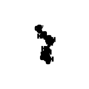 COc1nc(CCCNC(=O)CNc2cccc3c2C(=O)N(C2CCC(=O)NC2=O)C3=O)cnc1NS(=O)(=O)c1ccc(NC(=O)/C=C/c2ccc([N+](=O)[O-])s2)cc1